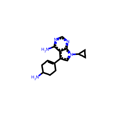 Nc1ncnc2c1c(C1=CCC(N)CC1)cn2C1CC1